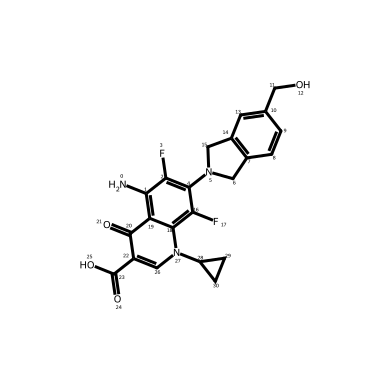 Nc1c(F)c(N2Cc3ccc(CO)cc3C2)c(F)c2c1c(=O)c(C(=O)O)cn2C1CC1